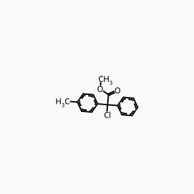 COC(=O)C(Cl)(c1ccccc1)c1ccc(C)cc1